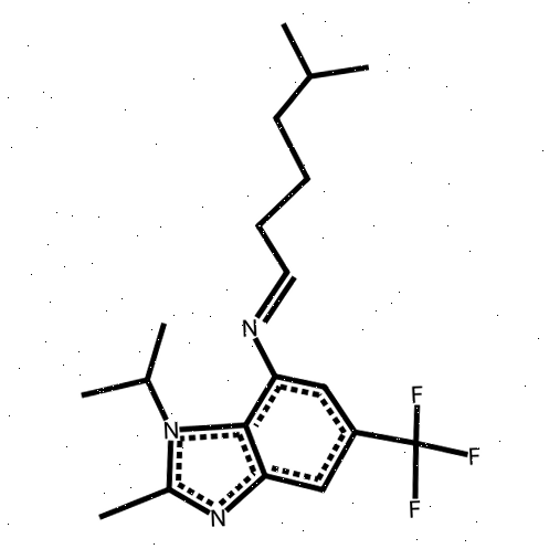 Cc1nc2cc(C(F)(F)F)cc(N=CCCCC(C)C)c2n1C(C)C